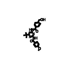 COc1ccc(C(=O)Nc2nc(NC(=O)c3ccc(CO)cc3)cc(C(C)(C)C)n2)cc1